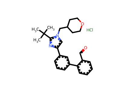 CC(C)(C)c1nc(-c2cccc(-c3ccccc3C=O)c2)cn1CC1CCOCC1.Cl